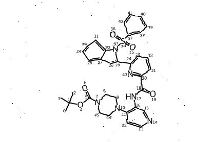 CC(C)(C)OC(=O)N1CCN(c2ccncc2NC(=O)c2cccc(-c3cc4ccccc4n3S(=O)(=O)c3ccccc3)n2)CC1